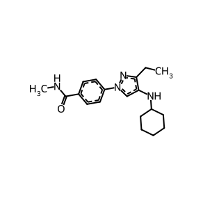 CCc1nn(-c2ccc(C(=O)NC)cc2)cc1NC1CCCCC1